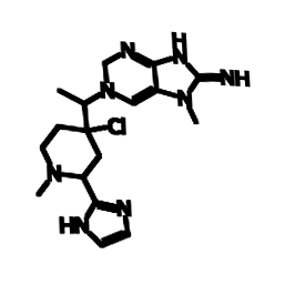 CC(N1C=c2c([nH]c(=N)n2C)=NC1)C1(Cl)CCN(C)C(c2ncc[nH]2)C1